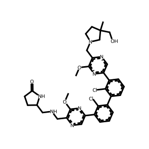 COc1nc(-c2cccc(-c3cccc(-c4cnc(CN5CCC(C)(CO)C5)c(OC)n4)c3Cl)c2Cl)cnc1CNCC1CCC(=O)N1